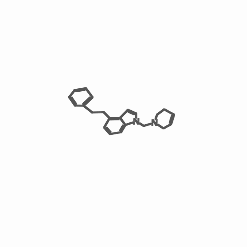 C1=CCN(Cn2ccc3c(CCc4ccccc4)cccc32)CC1